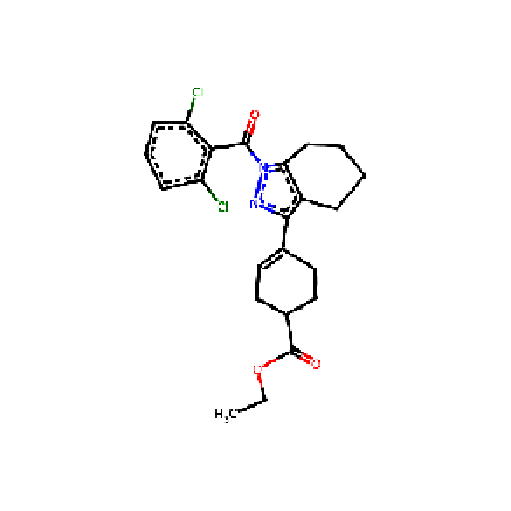 CCOC(=O)C1CC=C(c2nn(C(=O)c3c(Cl)cccc3Cl)c3c2CCCC3)CC1